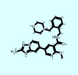 COc1ncc(-c2ccn3nc(N)nc3c2)cc1C(=O)NCc1ccccc1CN1CCOCC1